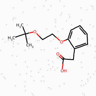 CC(C)(C)OCCOc1ccccc1CC(=O)O